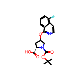 CC(C)(C)OC(=O)N1C[C@H](Oc2nccc3c(F)cccc23)C[C@H]1C(=O)O